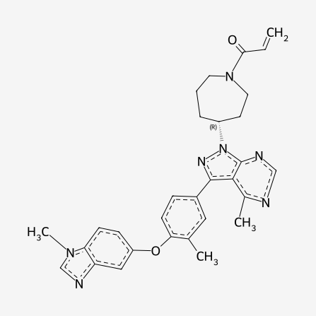 C=CC(=O)N1CCC[C@@H](n2nc(-c3ccc(Oc4ccc5c(c4)ncn5C)c(C)c3)c3c(C)ncnc32)CC1